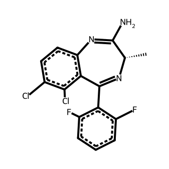 C[C@@H]1N=C(c2c(F)cccc2F)c2c(ccc(Cl)c2Cl)N=C1N